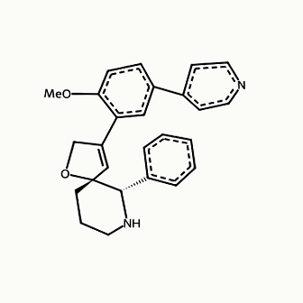 COc1ccc(-c2ccncc2)cc1C1=C[C@@]2(CCCN[C@H]2c2ccccc2)OC1